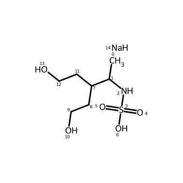 CC(NS(=O)(=O)O)C(CCO)CCO.[NaH]